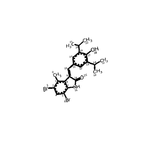 Cc1c(Br)cc(Br)c2c1C(=Cc1cc(C(C)C)c(O)c(C(C)C)c1)C(=O)N2